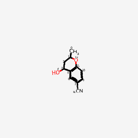 CC1CC(O)c2cc(C#N)ccc2O1